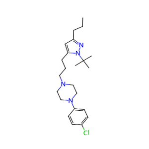 CCCc1cc(CCCN2CCN(c3ccc(Cl)cc3)CC2)n(C(C)(C)C)n1